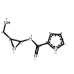 O=C(OC1OC1CO)c1ccco1